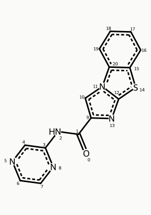 O=C(Nc1cnccn1)c1cn2c(n1)sc1ccccc12